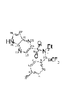 CCN(C(c1ccc(F)cc1)C(F)(F)F)S(=O)(=O)c1cnc2[nH]ccc2n1